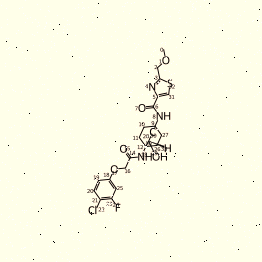 COCc1nc(C(=O)NC23CCC(NC(=O)COc4ccc(Cl)c(F)c4)(CC2)[C@@H](O)C3)cs1